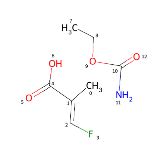 C/C(=C\F)C(=O)O.CCOC(N)=O